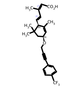 CC1=C[C@@H](OCC#Cc2ccc(C(F)(F)F)cc2)CC(C)(C)[C@H]1/C=C/C(C)=C\C(=O)O